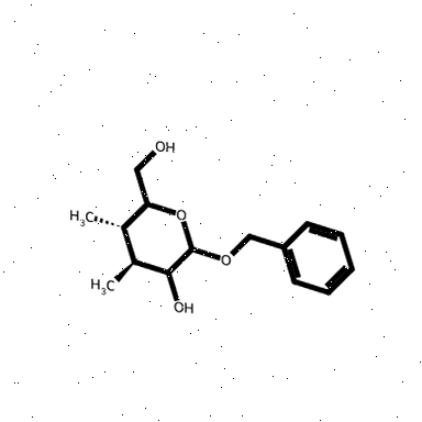 C[C@@H]1C(CO)OC(OCc2ccccc2)C(O)[C@H]1C